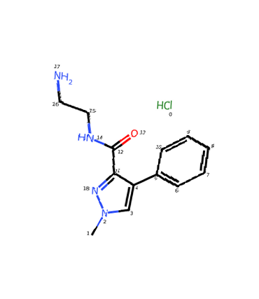 Cl.Cn1cc(-c2ccccc2)c(C(=O)NCCN)n1